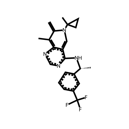 C=C1C(C)=c2ncnc(N[C@H](C)c3cccc(C(F)(F)F)c3)c2=CN1C1(C)CC1